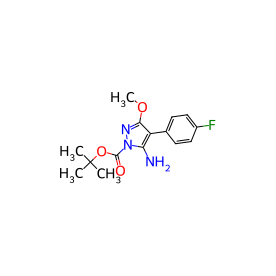 COc1nn(C(=O)OC(C)(C)C)c(N)c1-c1ccc(F)cc1